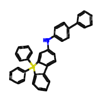 c1ccc(-c2ccc(Nc3ccc4c(c3)S(c3ccccc3)(c3ccccc3)c3ccccc3-4)cc2)cc1